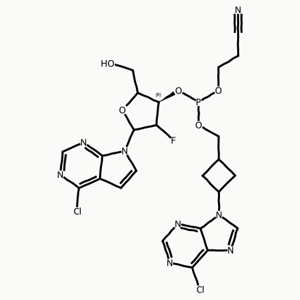 N#CCCOP(OCC1CC(n2cnc3c(Cl)ncnc32)C1)O[C@@H]1C(CO)OC(n2ccc3c(Cl)ncnc32)C1F